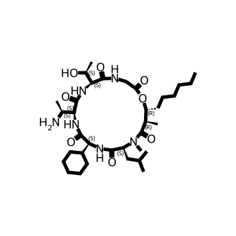 CCCCCC[C@H]1OC(=O)CNC(=O)[C@H]([C@H](C)O)NC(=O)[C@H]([C@H](C)N)NC(=O)[C@H](C2CCCCC2)NC(=O)[C@H](CC(C)C)N(C)C(=O)[C@@H]1C